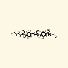 CCCCCC(=O)Oc1ccc(/C=C/C(=O)Oc2ccc(C(N)=S)cc2)cc1